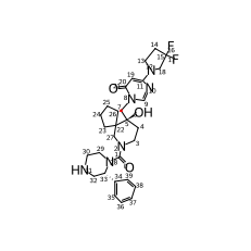 O=C(N1CC[C@@](O)(Cn2cnc(N3CCC(F)(F)C3)cc2=O)C2(CCCC2)C1)N1CCNC[C@H]1c1ccccc1